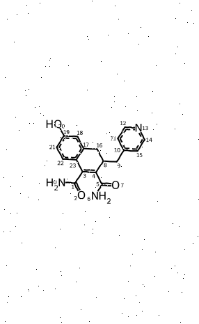 NC(=O)C1=C(C(N)=O)C(Cc2ccncc2)Cc2cc(O)ccc21